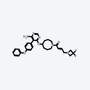 Nc1ncnc(OC2CCCN(C(=O)/C=C/CN3CC(F)(F)C3)CCC2)c1-c1ccc(Oc2ccccc2)cc1